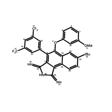 COc1cccc(Oc2c(-c3cc(C(F)(F)F)cc(C(F)(F)F)c3)c3c(c4ccc(C(C)(C)C)cc24)C(=N)NC3=N)c1